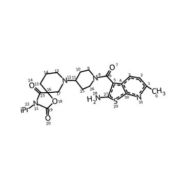 Cc1ccc2c(C(=O)N3CCC(N4CCCC5(C4)OC(=O)N(C(C)C)C5=O)CC3)c(N)sc2n1